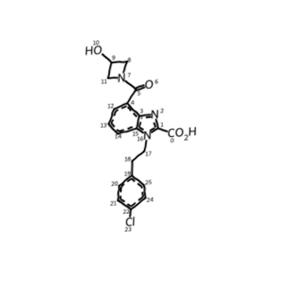 O=C(O)c1nc2c(C(=O)N3CC(O)C3)cccc2n1CCc1ccc(Cl)cc1